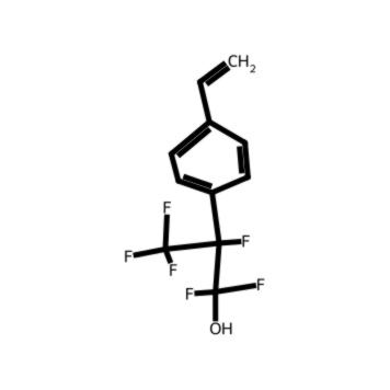 C=Cc1ccc(C(F)(C(O)(F)F)C(F)(F)F)cc1